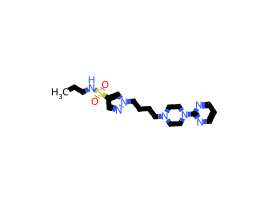 CCCNS(=O)(=O)c1cnn(CCCCN2CCN(c3ncccn3)CC2)c1